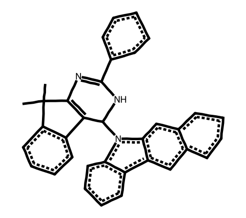 CC1(C)C2=C(c3ccccc31)C(n1c3ccccc3c3cc4ccccc4cc31)NC(c1ccccc1)=N2